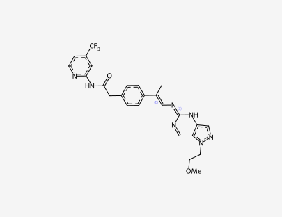 C=N/C(=N\C=C(/C)c1ccc(CC(=O)Nc2cc(C(F)(F)F)ccn2)cc1)Nc1cnn(CCOC)c1